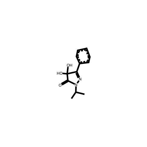 CC(C)N1N=C(c2ccccc2)C(O)(O)C1=O